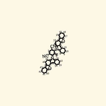 N#Cc1cc(C#N)c(-n2c3ccccc3c3c4oc5ccccc5c4ccc32)c(F)c1-n1c2ccccc2c2c3oc4ccccc4c3ccc21